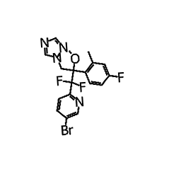 COC(Cn1cncn1)(c1ccc(F)cc1C)C(F)(F)c1ccc(Br)cn1